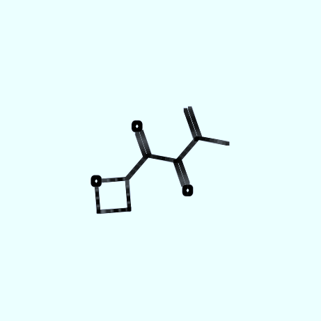 C=C(C)C(=O)C(=O)C1CCO1